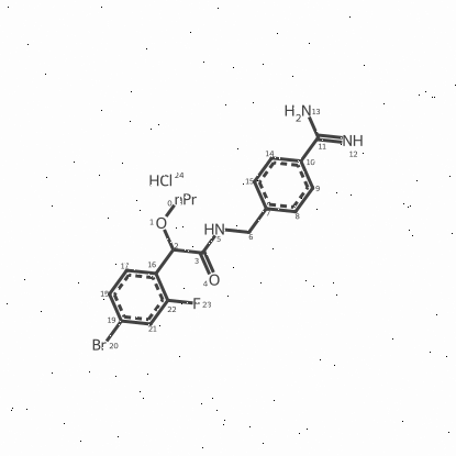 CCCOC(C(=O)NCc1ccc(C(=N)N)cc1)c1ccc(Br)cc1F.Cl